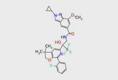 COc1cc(C(=O)NC[C@](O)(c2cc3c(c(-c4ccccc4F)n2)OCC3(C)C)C(F)(F)F)cc2cn(C3CC3)nc12